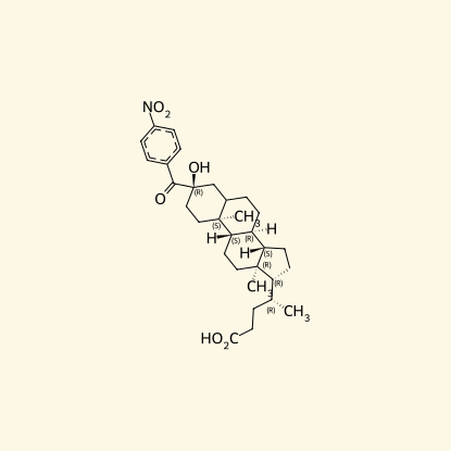 C[C@H](CCC(=O)O)[C@H]1CC[C@H]2[C@@H]3CCC4C[C@@](O)(C(=O)c5ccc([N+](=O)[O-])cc5)CC[C@]4(C)[C@H]3CC[C@]12C